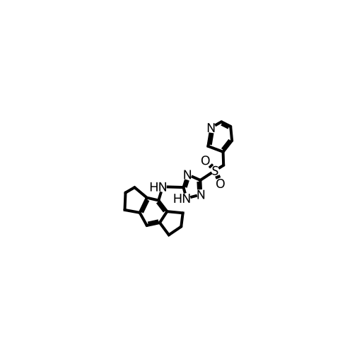 O=S(=O)(Cc1cccnc1)c1n[nH]c(Nc2c3c(cc4c2CCC4)CCC3)n1